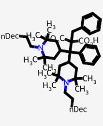 CCCCCCCCCCCCN1C(C)(C)CC(C(c2ccccc2)(C2CC(C)(C)N(CCCCCCCCCCCC)C(C)(C)C2)C(Cc2ccccc2)(C(=O)O)C(=O)O)CC1(C)C